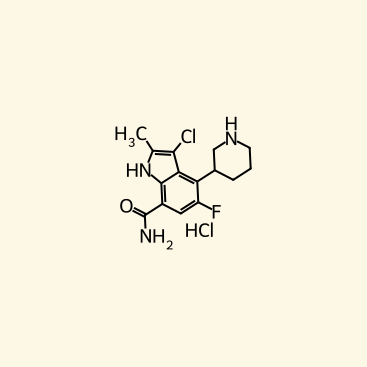 Cc1[nH]c2c(C(N)=O)cc(F)c(C3CCCNC3)c2c1Cl.Cl